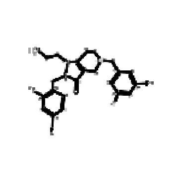 NCCn1c2c(c(=O)n1Cc1ccc(F)cc1F)CN(Cc1cc(F)cc(F)c1)CC2